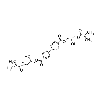 C=C(C)C(=O)OCC(O)COC(=O)c1ccc(-c2ccc(C(=O)OCC(O)COC(=O)C(=C)C)cc2)cc1